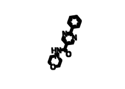 O=C(NN1CCOCC1)c1cnc(-c2ccccc2)nc1